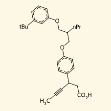 CC#CC(CC(=O)O)c1ccc(OCC(CCC)COc2cccc(C(C)(C)C)c2)cc1